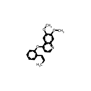 C/C=C\c1ccccc1Oc1ccnc2cc(OC)c(OC)cc12